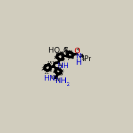 CC(C)CNC(=O)c1ccc(-c2cccc(C3CC(c4ccccc4)c4cc(C(=N)N)ccc4N3)c2)c(C(=O)O)c1